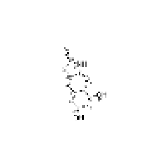 O=C1NC(=S)S/C1=C/c1cc(O)cc(O)c1